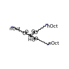 CCCCCCCC/C=C\CCCCCCCCOC(=O)CCNN(CCC(=O)OCCCCCCCC/C=C\CCCCCCCC)CCC(=O)OCCCCCCCC/C=C\CCCCCCCC